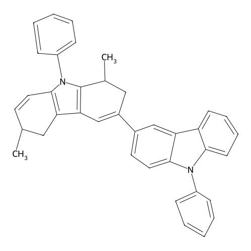 CC1C=Cc2c(c3c(n2-c2ccccc2)C(C)CC(c2ccc4c(c2)c2ccccc2n4-c2ccccc2)=C3)C1